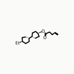 C=CCCC(=O)O[C@H]1CC[C@H]([C@H]2CC[C@H](CC)CC2)CC1